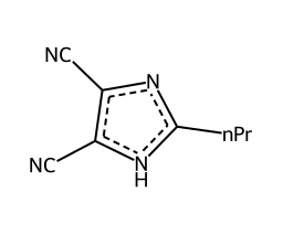 CCCc1nc(C#N)c(C#N)[nH]1